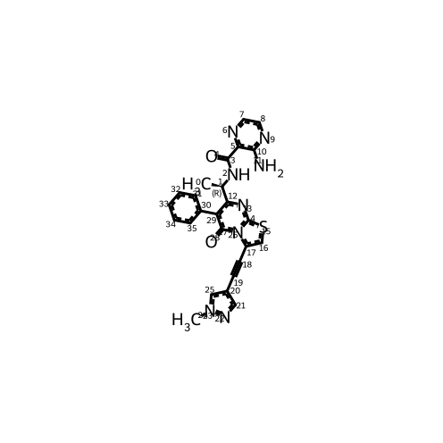 C[C@@H](NC(=O)c1nccnc1N)c1nc2scc(C#Cc3cnn(C)c3)n2c(=O)c1-c1ccccc1